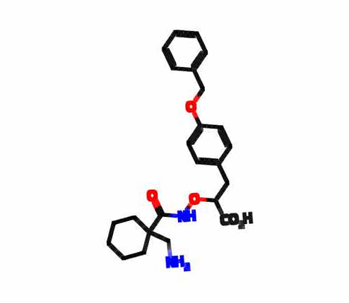 NCC1(C(=O)NOC(Cc2ccc(OCc3ccccc3)cc2)C(=O)O)CCCCC1